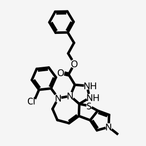 Cn1cc2c(c1)C1=CCCN(c3ccccc3Cl)N3C(C(=O)OCCc4ccccc4)NNC13S2